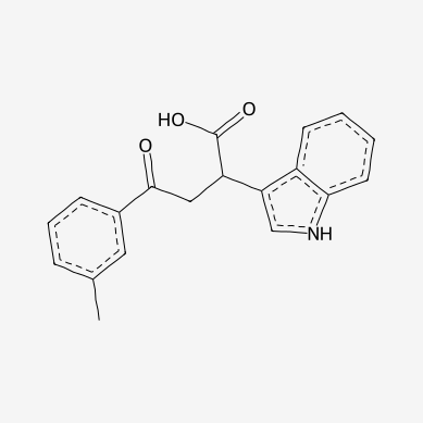 Cc1cccc(C(=O)CC(C(=O)O)c2c[nH]c3ccccc23)c1